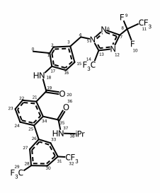 Cc1cc(Cn2nc(C(F)(F)C(F)(F)F)nc2C(F)(F)F)ccc1NC(=O)c1cccc(-c2cc(C(F)(F)F)cc(C(F)(F)F)c2)c1C(=O)NC(C)C